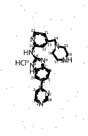 Cl.c1cc(-c2ccc3nc(Nc4cc(CN5CCNCC5)ccn4)[nH]c3c2)ncn1